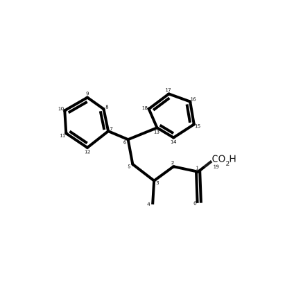 C=C(CC(C)CC(c1ccccc1)c1ccccc1)C(=O)O